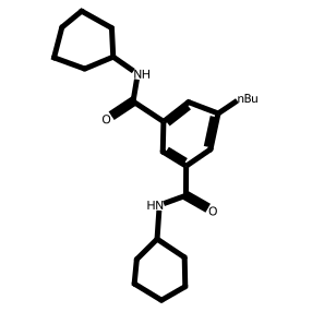 CCCCc1cc(C(=O)NC2CCCCC2)cc(C(=O)NC2CCCCC2)c1